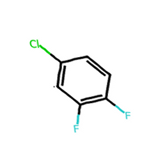 Fc1[c]c(Cl)ccc1F